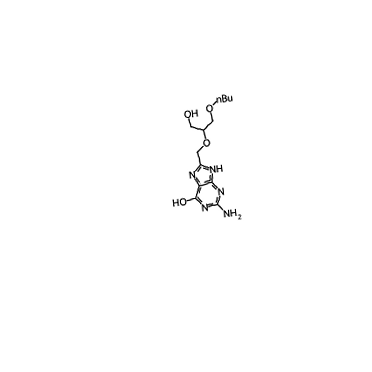 CCCCOCC(CO)OCc1nc2c(O)nc(N)nc2[nH]1